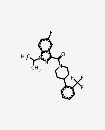 CC(C)n1nc(C(=O)N2CCC(c3ccccc3C(F)(F)F)CC2)c2cc(F)ccc21